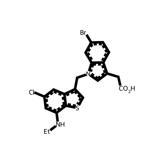 CCNc1cc(Cl)cc2c(Cn3cc(CC(=O)O)c4ccc(Br)cc43)csc12